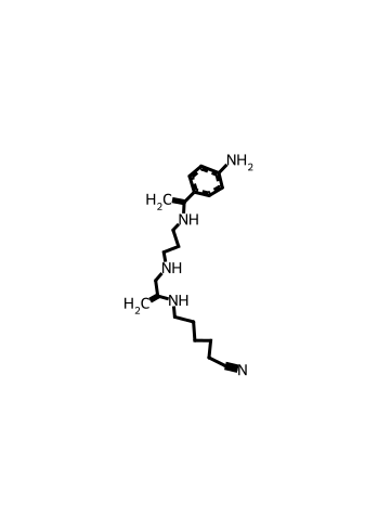 C=C(CNCCCNC(=C)c1ccc(N)cc1)NCCCCCC#N